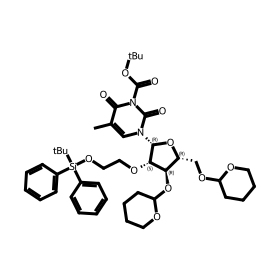 Cc1cn([C@@H]2O[C@H](COC3CCCCO3)[C@@H](OC3CCCCO3)[C@@H]2OCCO[Si](c2ccccc2)(c2ccccc2)C(C)(C)C)c(=O)n(C(=O)OC(C)(C)C)c1=O